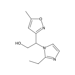 CCc1nccn1C(CO)c1cc(C)on1